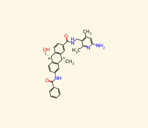 Cc1cc(N)nc(C)c1CNC(=O)c1ccc2c(c1)[C@H](C)c1cc(NC(=O)c3ccccc3)ccc1[C@@H]2CO